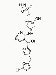 NS(=O)(=O)OC[C@H]1C[C@@H](Nc2ncncc2C(O)c2cc(Cc3ccc(Cl)o3)cs2)C[C@@H]1O